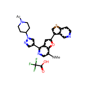 CNc1cnc(-c2cnn(C3CCN(C(C)=O)CC3)c2)c2cc(-c3csc4ccncc34)oc12.O=C(O)C(F)(F)F